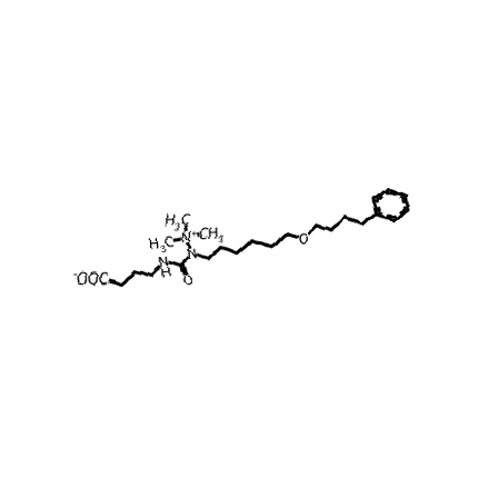 C[N+](C)(C)N(CCCCCCOCCCCc1ccccc1)C(=O)NCCCC(=O)[O-]